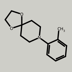 Cc1ccccc1N1CCC2(CC1)OCCO2